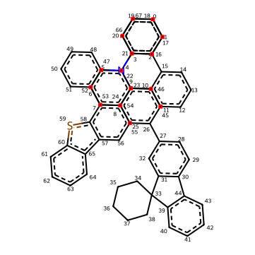 c1ccc(-c2ccccc2-c2ccccc2-c2ccccc2N(c2ccc(-c3ccc4c(c3)C3(CCCCC3)c3ccccc3-4)cc2)c2ccccc2-c2cccc3c2sc2ccccc23)cc1